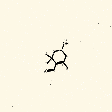 CC1=C(C=O)C(C)(C)C[C@@H](O)C1